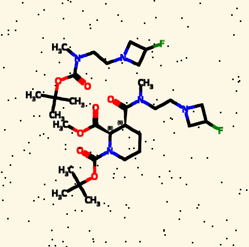 CN(CCN1CC(F)C1)C(=O)OC(C)(C)C.COC(=O)[C@H]1[C@@H](C(=O)N(C)CCN2CC(F)C2)CCCN1C(=O)OC(C)(C)C